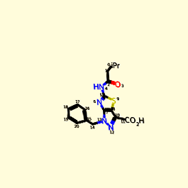 CC(C)CC(=O)Nc1nc2c(s1)c(C(=O)O)nn2Cc1ccccc1